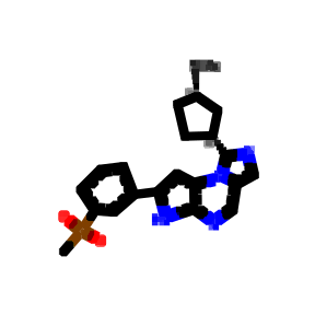 CC(=O)N[C@H]1CC[C@@H](c2ncc3cnc4[nH]c(-c5cccc(S(C)(=O)=O)c5)cc4n23)C1